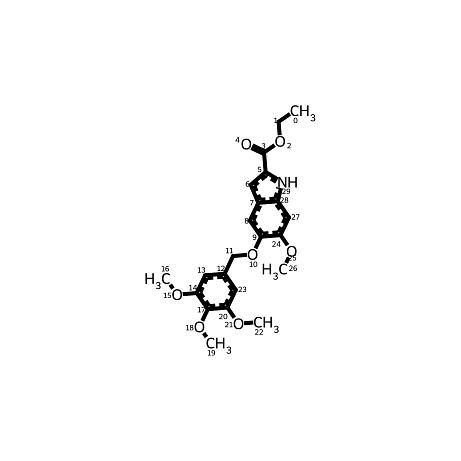 CCOC(=O)c1cc2cc(OCc3cc(OC)c(OC)c(OC)c3)c(OC)cc2[nH]1